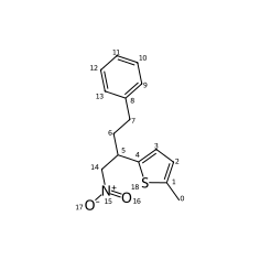 Cc1ccc(C(CCc2ccccc2)C[N+](=O)[O-])s1